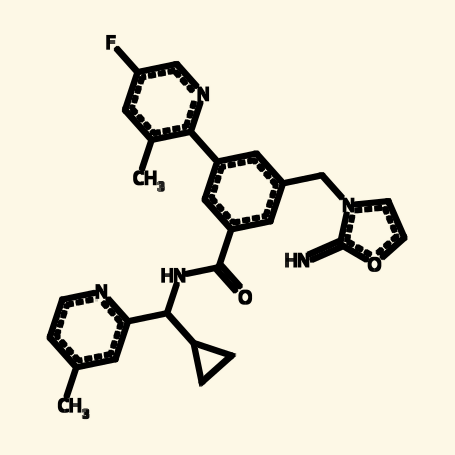 Cc1ccnc(C(NC(=O)c2cc(Cn3ccoc3=N)cc(-c3ncc(F)cc3C)c2)C2CC2)c1